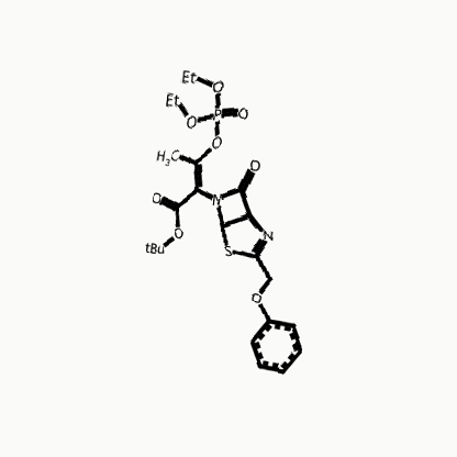 CCOP(=O)(OCC)OC(C)=C(C(=O)OC(C)(C)C)N1C(=O)C2N=C(COc3ccccc3)SC21